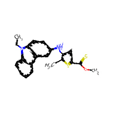 CCn1c2ccccc2c2cc(Nc3cc(C(=S)OC)sc3C)ccc21